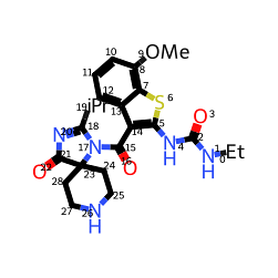 CCNC(=O)Nc1sc2c(OC)cccc2c1C(=O)N1C(C(C)C)=NC(=O)C12CCNCC2